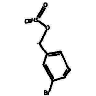 O=[SH](=O)O[CH]c1cccc(Br)c1